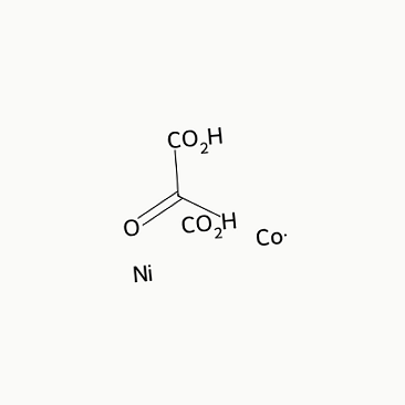 O=C(O)C(=O)C(=O)O.[Co].[Ni]